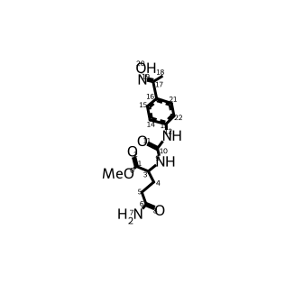 COC(=O)C(CCC(N)=O)NC(=O)Nc1ccc(C(C)=NO)cc1